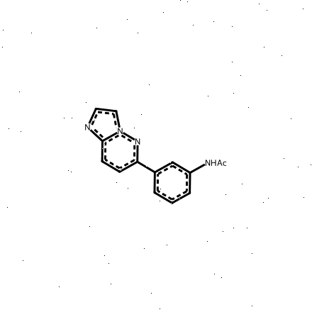 CC(=O)Nc1cccc(-c2ccc3nccn3n2)c1